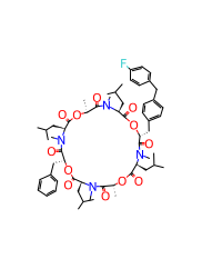 CC(C)C[C@H]1C(=O)O[C@H](Cc2ccc(Cc3ccc(F)cc3)cc2)C(=O)N(C)[C@@H](CC(C)C)C(=O)O[C@H](C)C(=O)N(C)[C@@H](CC(C)C)C(=O)O[C@H](Cc2ccccc2)C(=O)N(C)[C@@H](CC(C)C)C(=O)O[C@H](C)C(=O)N1C